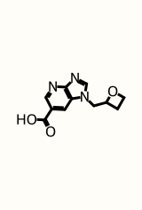 O=C(O)c1cnc2ncn(CC3CCO3)c2c1